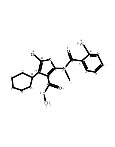 COC(=O)c1c(N(I)C(=O)c2ccccc2C)sc(Cl)c1C1CCCCC1